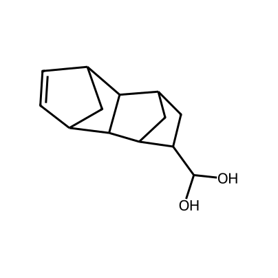 OC(O)C1CC2CC1C1C3C=CC(C3)C21